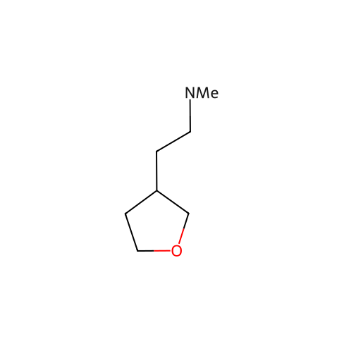 CNCCC1CCOC1